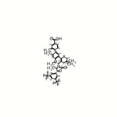 COc1cc(C)c(-c2ccc(C(=O)O)cc2C)cc1C1=C(CN2C(=O)O[C@H](c3cc(C(F)(F)F)cc(C(F)(F)F)c3)[C@@H]2C)CC(C)(C)CC1